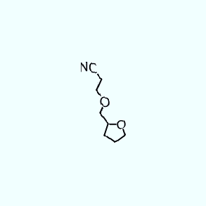 N#CCCOCC1CCCO1